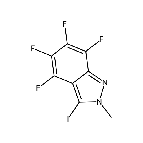 Cn1nc2c(F)c(F)c(F)c(F)c2c1I